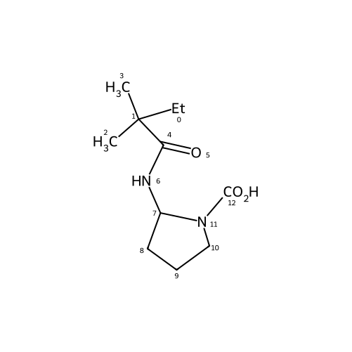 CCC(C)(C)C(=O)NC1CCCN1C(=O)O